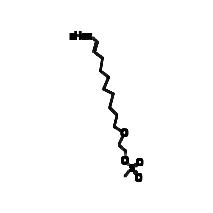 CCCCCCC=CCCCCCCCCOCCOS(C)(=O)=O